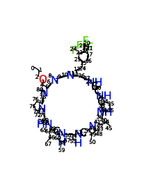 CCCOCC1=CN(C)C=CN=C(CCc2ccc(C(F)(F)F)c(F)c2)C=CNCCNCC2(CCCC2)NC(C)[C@H]([C@@H](C)CC)N2C(C)[C@@H](C)C2CNC(C)[C@H](CC(C)C)NC[C@H]([C@@H](C)CC)NC(C)[C@H](C)N2CCCC2=CN1C